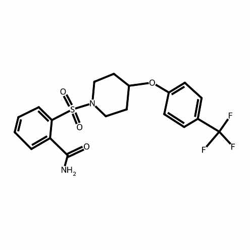 NC(=O)c1ccccc1S(=O)(=O)N1CCC(Oc2ccc(C(F)(F)F)cc2)CC1